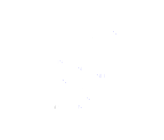 CC(O)CNc1nc(Nc2ccc(N)c(Cl)c2)c2c(n1)c(C(C)C)nn2C(C)C